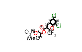 COCC(CO[N+](=O)[O-])OC(=O)C1=Cc2cc(Cl)cc(Cl)c2OC1C(F)(F)F